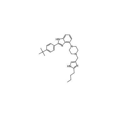 CCCCc1nc(CN2CCN(c3cccc4[nH]c(-c5ccc(C(C)(C)C)cc5)nc34)CC2)c[nH]1